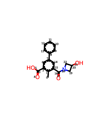 Cc1c(C(=O)O)cc(-c2ccccc2)cc1C(=O)N1CC(O)C1